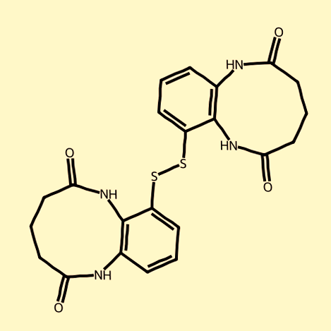 O=C1CCCC(=O)Nc2c(cccc2SSc2cccc3c2NC(=O)CCCC(=O)N3)N1